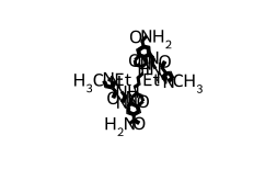 CCn1nc(C)cc1C(=O)Nc1nc2cc(C(N)=O)cc3c2n1[C@@H](CCCC[C@H]1COc2cc(C(N)=O)cc4nc(NC(=O)c5cc(C)nn5CC)n1c24)CO3